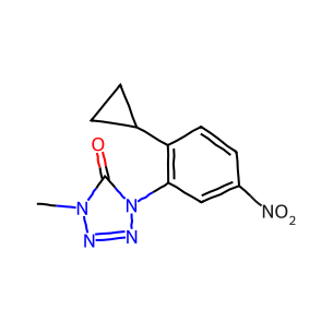 Cn1nnn(-c2cc([N+](=O)[O-])ccc2C2CC2)c1=O